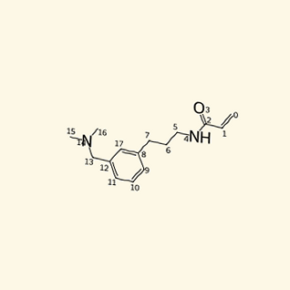 C=CC(=O)NCCCc1cccc(CN(C)C)c1